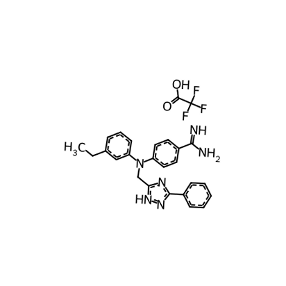 CCc1cccc(N(Cc2nc(-c3ccccc3)n[nH]2)c2ccc(C(=N)N)cc2)c1.O=C(O)C(F)(F)F